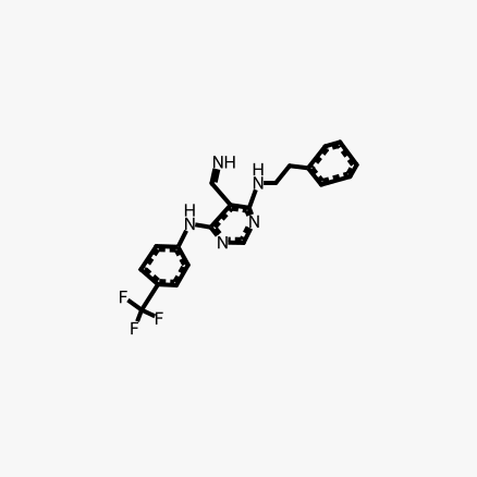 N=Cc1c(NCCc2ccccc2)ncnc1Nc1ccc(C(F)(F)F)cc1